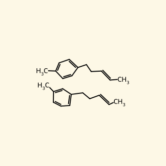 CC=CCCc1ccc(C)cc1.CC=CCCc1cccc(C)c1